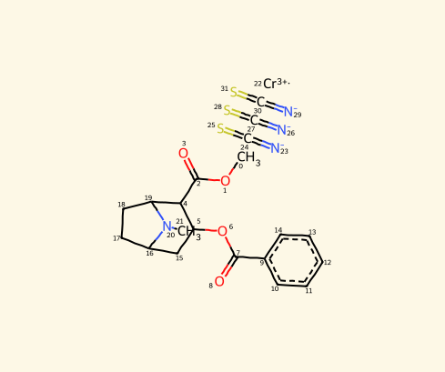 COC(=O)C1C(OC(=O)c2ccccc2)CC2CCC1N2C.[Cr+3].[N-]=C=S.[N-]=C=S.[N-]=C=S